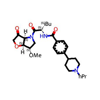 CCCN1CCC(c2ccc(C(=O)N[C@H](C(=O)N3C[C@H](OC)[C@H]4OCC(=O)[C@H]43)[C@@H](C)CC)cc2)CC1